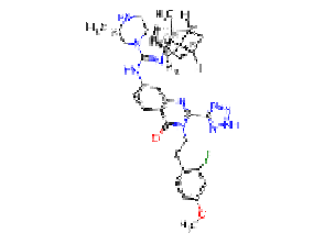 COc1ccc(CCn2c(-c3nn[nH]n3)nc3cc(NC(=N[C@H]4C[C@H]5C[C@@H]([C@@H]4C)C5(C)C)N4CCN[C@@H](C)C4)ccc3c2=O)c(F)c1